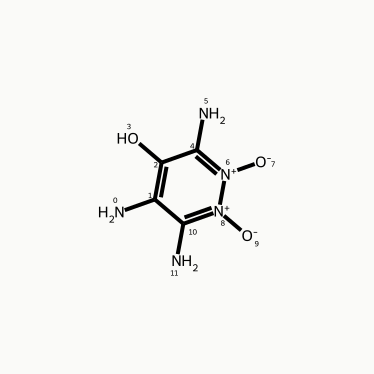 Nc1c(O)c(N)[n+]([O-])[n+]([O-])c1N